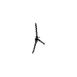 CCCCCCCCCCCCCC[n+]1ccn(CCCCCCCCCCCCC)c1CCCCCCCC